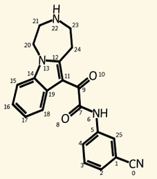 N#Cc1cccc(NC(=O)C(=O)c2c3n(c4ccccc24)CCNCC3)c1